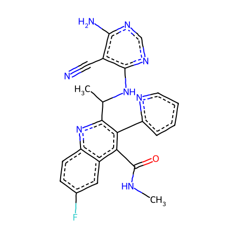 CNC(=O)c1c(-c2ccccn2)c(C(C)Nc2ncnc(N)c2C#N)nc2ccc(F)cc12